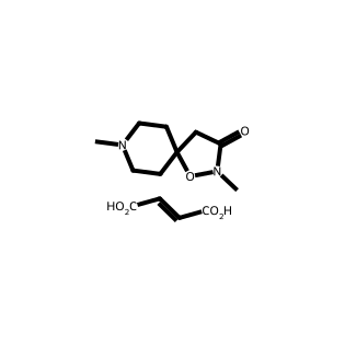 CN1CCC2(CC1)CC(=O)N(C)O2.O=C(O)C=CC(=O)O